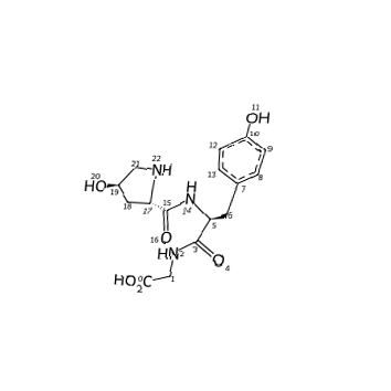 O=C(O)CNC(=O)[C@H](Cc1ccc(O)cc1)NC(=O)[C@@H]1C[C@@H](O)CN1